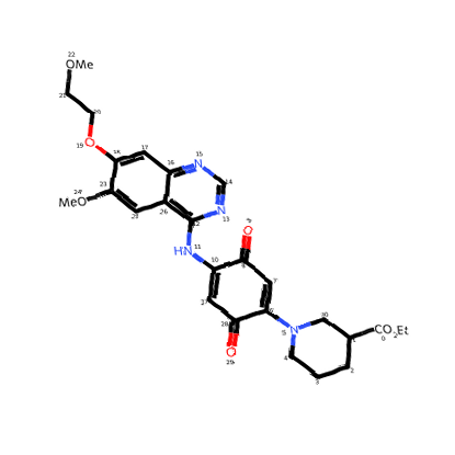 CCOC(=O)C1CCCN(C2=CC(=O)C(Nc3ncnc4cc(OCCOC)c(OC)cc34)=CC2=O)C1